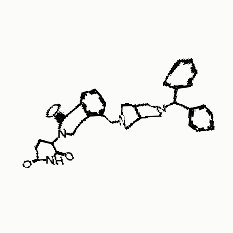 O=C1CCC(N2Cc3c(CN4CC5CN(C(c6ccccc6)c6ccccc6)CC5C4)cccc3C2=O)C(=O)N1